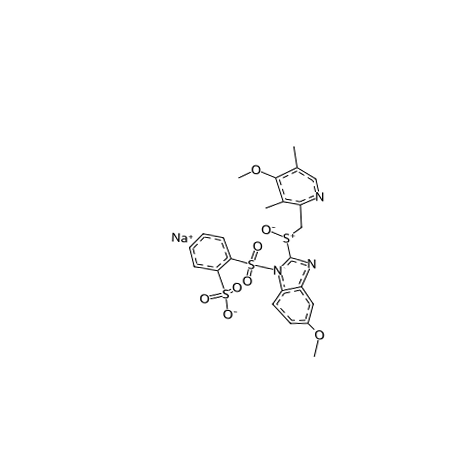 COc1ccc2c(c1)nc([S+]([O-])Cc1ncc(C)c(OC)c1C)n2S(=O)(=O)c1ccccc1S(=O)(=O)[O-].[Na+]